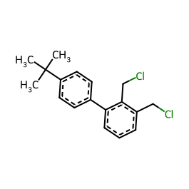 CC(C)(C)c1ccc(-c2cccc(CCl)c2CCl)cc1